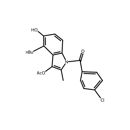 CCCCc1c(O)ccc2c1c(OC(C)=O)c(C)n2C(=O)c1ccc(Cl)cc1